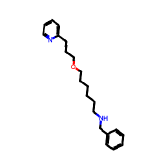 c1ccc(CNCCCCCCOCCCc2ccccn2)cc1